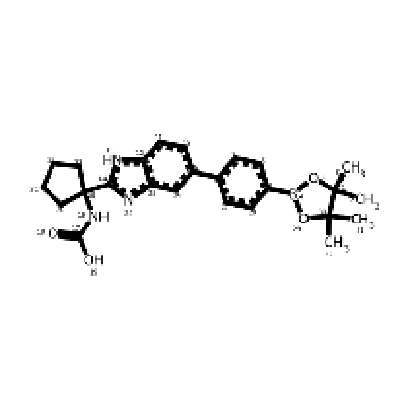 CC1(C)OB(c2ccc(-c3ccc4[nH]c(C5(NC(=O)O)CCCC5)nc4c3)cc2)OC1(C)C